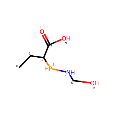 CCC(PNCO)C(=O)O